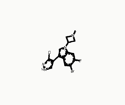 CN1CC(n2cc(-c3c[nH]nc3Cl)c3cc(Br)c(F)cc32)C1